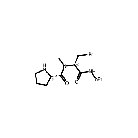 CCCNC(=O)[C@H](CC(C)C)N(C)C(=O)[C@@H]1CCCN1